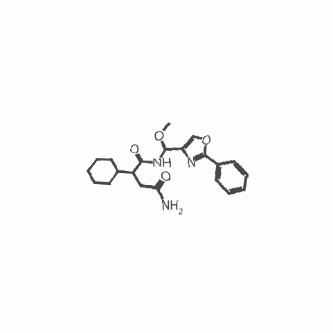 COC(NC(=O)C(CC(N)=O)C1CCCCC1)c1coc(-c2ccccc2)n1